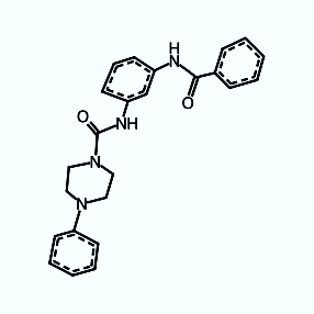 O=C(Nc1cccc(NC(=O)N2CCN(c3ccccc3)CC2)c1)c1ccccc1